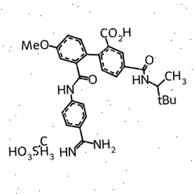 COc1ccc(-c2ccc(C(=O)NC(C)C(C)(C)C)cc2C(=O)O)c(C(=O)Nc2ccc(C(=N)N)cc2)c1.CS(=O)(=O)O